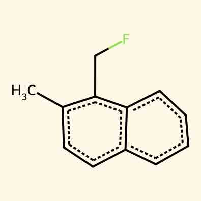 Cc1ccc2ccccc2c1CF